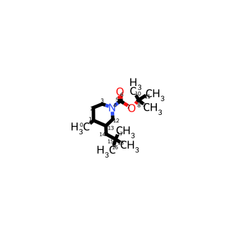 CC1CCN(C(=O)OC(C)(C)C)CC1CC(C)(C)C